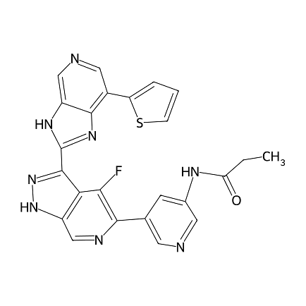 CCC(=O)Nc1cncc(-c2ncc3[nH]nc(-c4nc5c(-c6cccs6)cncc5[nH]4)c3c2F)c1